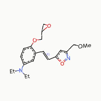 CCN(CC)c1ccc(OCC2CO2)c(/C=C/c2cc(COC)no2)c1